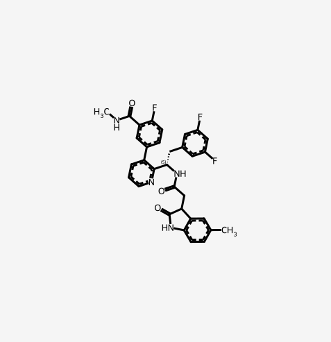 CNC(=O)c1cc(-c2cccnc2[C@H](Cc2cc(F)cc(F)c2)NC(=O)CC2C(=O)Nc3ccc(C)cc32)ccc1F